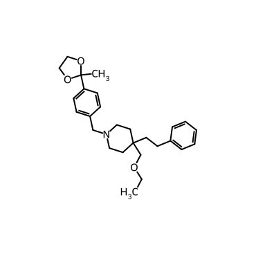 CCOCC1(CCc2ccccc2)CCN(Cc2ccc(C3(C)OCCO3)cc2)CC1